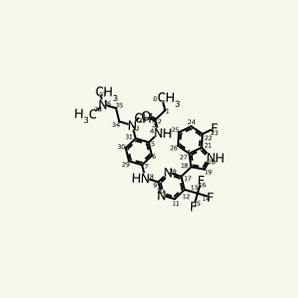 CCC(=O)Nc1cc(Nc2ncc(C(F)(F)F)c(-c3c[nH]c4c(F)cccc34)n2)ccc1N(C)CCN(C)C